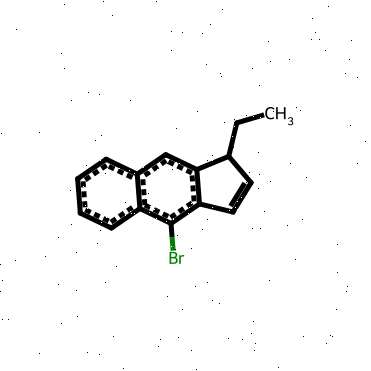 CCC1C=Cc2c1cc1ccccc1c2Br